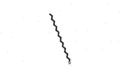 CCCCCCCCCCCCCCCCCC[Si]